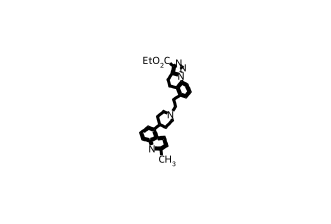 CCOC(=O)c1nnn2c1CCc1c(CCN3CCC(c4cccc5nc(C)ccc45)CC3)cccc1-2